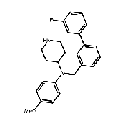 COc1ccc(N(Cc2ccnc(-c3cccc(F)c3)c2)C2CCNCC2)cc1